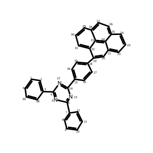 c1ccc(-c2nc(-c3ccccc3)nc(-c3ccc(-c4cc5cccc6ccc7cccc4c7c65)cc3)n2)cc1